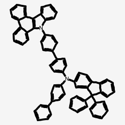 c1ccc(-c2ccc(N(c3ccc(-c4ccc(-n5c6ccccc6c6c7ccccc7c7ccccc7c65)cc4)cc3)c3ccc4c(c3)C(c3ccccc3)(c3ccccc3)c3ccccc3-4)cc2)cc1